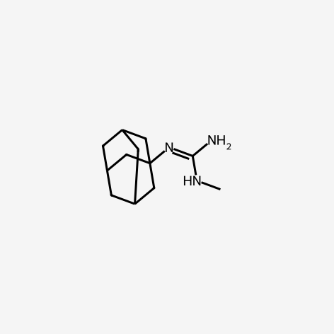 CNC(N)=NC12CC3CC(CC(C3)C1)C2